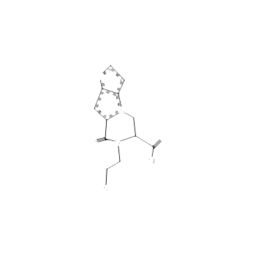 NCCN1C(=O)c2cc3sccc3n2CC1C(N)=O